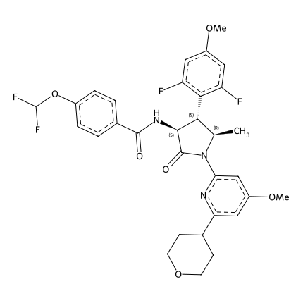 COc1cc(C2CCOCC2)nc(N2C(=O)[C@@H](NC(=O)c3ccc(OC(F)F)cc3)[C@H](c3c(F)cc(OC)cc3F)[C@H]2C)c1